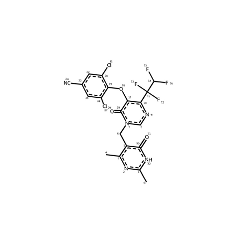 Cc1nc(C)c(Cn2cnc(C(F)(F)C(F)F)c(Oc3c(Cl)cc(C#N)cc3Cl)c2=O)c(=O)[nH]1